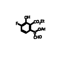 CCOC(=O)c1c(N(C=O)OC(C)=O)ccc(F)c1O